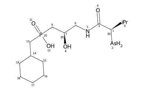 CC(C)[C@@H]([AsH2])C(=O)NC[C@@H](O)CP(=O)(O)CC1CCCCC1